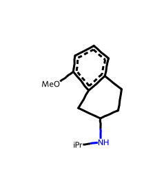 COc1cccc2c1CC(NC(C)C)CC2